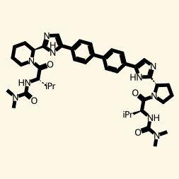 CC(C)[C@H](NC(=O)N(C)C)C(=O)N1CCCC[C@H]1c1ncc(-c2ccc(-c3ccc(-c4cnc([C@@H]5CCCN5C(=O)[C@@H](NC(=O)N(C)C)C(C)C)[nH]4)cc3)cc2)[nH]1